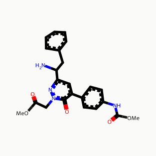 COC(=O)Cn1nc(C(N)Cc2ccccc2)cc(-c2ccc(NC(=O)OC)cc2)c1=O